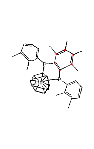 Cc1cccc(P(c2cccc(C)c2C)[C]23[CH]4[CH]5[CH]6[C]2(P(c2cccc(C)c2C)c2cccc(C)c2C)[Hf]54632789[CH]3[CH]2[CH]7[CH]8[CH]39)c1C